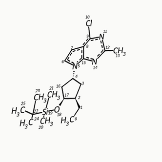 CC[C@@H]1C[C@@H](n2ccc3c(Cl)nc(C)nc32)C[C@@H]1O[Si](C)(C)C(C)(C)C